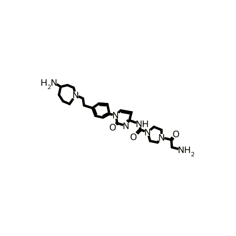 NCC(=O)N1CCN(C(=O)Nc2ccn(-c3ccc(CCN4CCCC(N)CC4)cc3)c(=O)n2)CC1